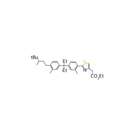 CCOC(=O)Cc1csc(-c2ccc(C(CC)(CC)c3ccc(CCC(C)C(C)(C)C)c(C)c3)cc2C)n1